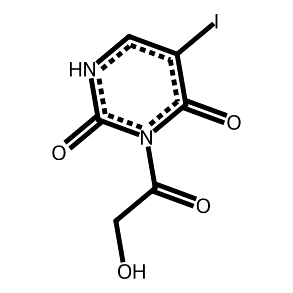 O=C(CO)n1c(=O)[nH]cc(I)c1=O